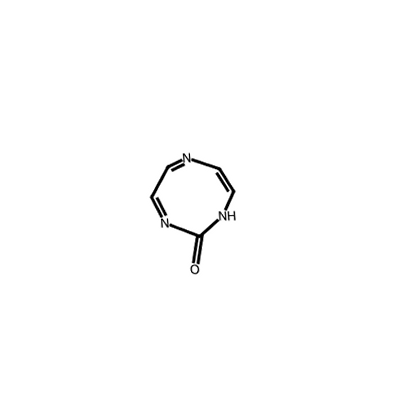 O=C1\N=C/C=N\C=C/N1